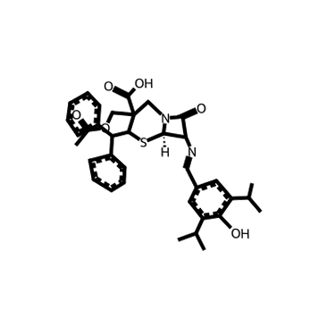 CC(=O)OCC1(C(=O)O)CN2C(=O)C(N=Cc3cc(C(C)C)c(O)c(C(C)C)c3)[C@H]2SC1C(c1ccccc1)c1ccccc1